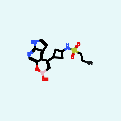 CC(C)CCS(=O)(=O)NC1CC(C2=CB(O)Oc3cnc4[nH]ccc4c32)C1